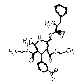 CCOC(=O)C1=C(C)NC(CSC(=O)C(N)Cc2ccccc2)=C(C(=O)OCC)C1c1cccc([N+](=O)[O-])c1